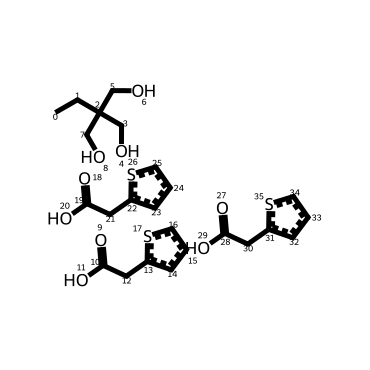 CCC(CO)(CO)CO.O=C(O)Cc1cccs1.O=C(O)Cc1cccs1.O=C(O)Cc1cccs1